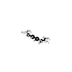 C[C@H](C(N)=O)C1CN(c2ccc(-c3ccc(-c4noc(N(C)C)n4)nc3)c(F)c2)C(=O)O1